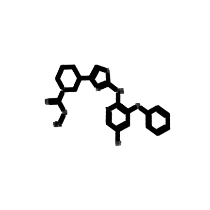 CC(C)(C)OC(=O)N1CCCC(c2csc(Nc3ncc(Br)cc3Oc3ccccc3)n2)C1